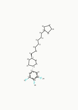 Fc1cc([C@H]2CC[C@H](CCCCCCCC3CCCC3)CC2)cc(F)c1F